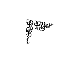 CCC(CC)(C(C)=O)C(=O)[O-].CCC(CC)(C(C)=O)C(=O)[O-].CCC(CC)(C(C)=O)C(=O)[O-].CCCC[O-].CCCC[O-].CCCC[O-].[Al+3].[Al+3]